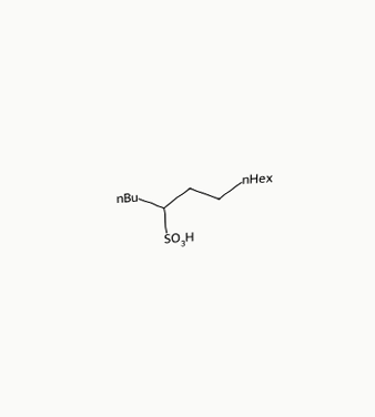 CCCCCCCCC(CCCC)S(=O)(=O)O